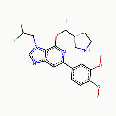 COc1ccc(-c2cc3ncn(CC(F)F)c3c(O[C@H](C)[C@@H]3CCNC3)n2)cc1OC